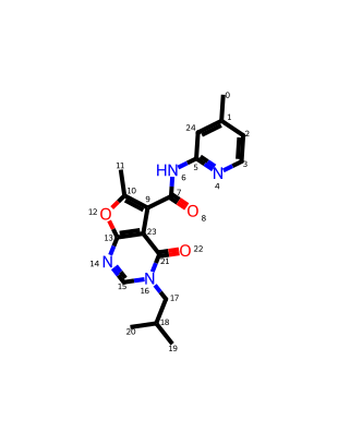 Cc1ccnc(NC(=O)c2c(C)oc3ncn(CC(C)C)c(=O)c23)c1